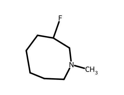 CN1CCCCCC(F)C1